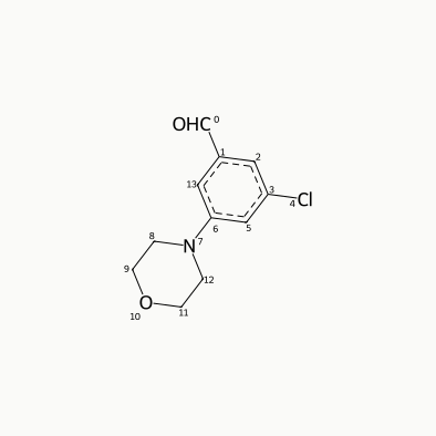 O=Cc1cc(Cl)cc(N2CCOCC2)c1